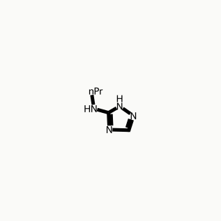 CCCNc1ncn[nH]1